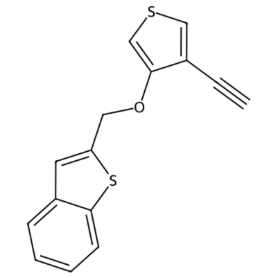 C#Cc1cscc1OCc1cc2ccccc2s1